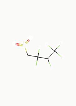 O=[SH](=O)CC(F)(F)C(F)C(F)(F)F